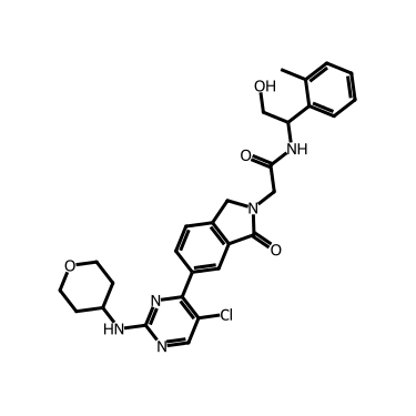 Cc1ccccc1C(CO)NC(=O)CN1Cc2ccc(-c3nc(NC4CCOCC4)ncc3Cl)cc2C1=O